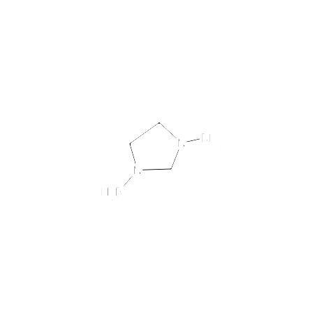 BN1CCN(B)C1